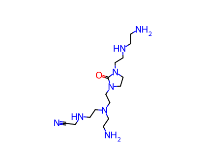 N#CCNCCN(CCN)CCN1CCN(CCNCCN)C1=O